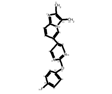 Cc1nc2ccc(-c3cnc(Oc4ccc(F)cc4)nc3)cn2c1C